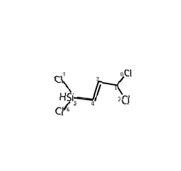 ClC(Cl)C=C[SiH](Cl)Cl